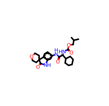 CC(C)COC(=O)N[C@H](C(=O)Nc1ccc2c(c1)NC(=O)C21CCOCC1)C1CCCCC1